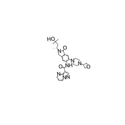 C[C@H](CC(C)(C)O)N1Cc2cc(NC(=O)c3cnn4cccnc34)c(N3CCN(C4COC4)CC3)cc2C1=O